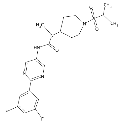 CC(C)S(=O)(=O)N1CCC(N(C)C(=O)Nc2cnc(-c3cc(F)cc(F)c3)nc2)CC1